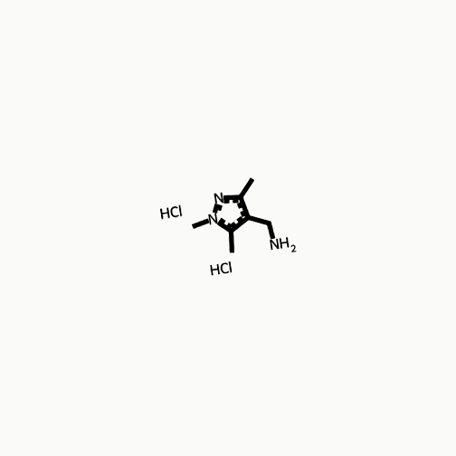 Cc1nn(C)c(C)c1CN.Cl.Cl